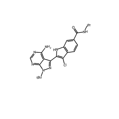 CC(C)NC(=O)c1ccc2c(Cl)c(-c3nn(C(C)(C)C)c4ncnc(N)c34)[nH]c2c1